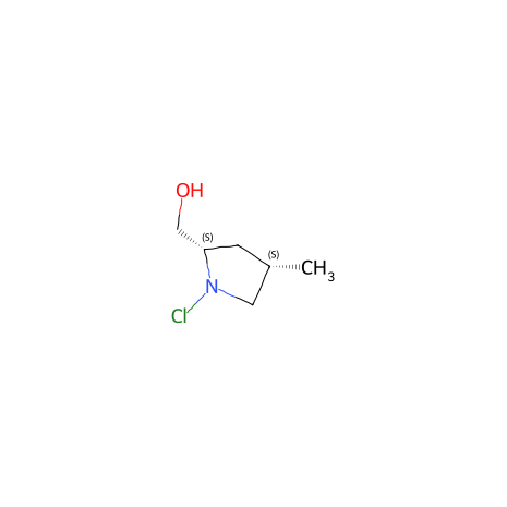 C[C@H]1C[C@@H](CO)N(Cl)C1